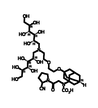 N#CC1CCCN1C(=O)CN(C(=O)O)C12CC3C[C@H](CC(OCCOCCN(C[C@H](O)[C@@H](O)[C@H](O)[C@H](O)CO)C[C@H](O)[C@@H](O)[C@H](O)[C@H](O)CO)(C3)C1)C2